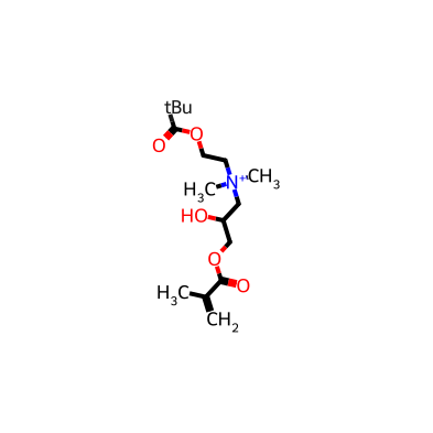 C=C(C)C(=O)OCC(O)C[N+](C)(C)CCOC(=O)C(C)(C)C